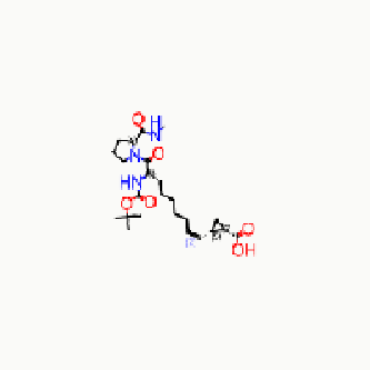 CNC(=O)[C@@H]1CCCN1C(=O)[C@H](CCCCC/C=C\[C@@H]1C[C@@H]1C(=O)O)NC(=O)OC(C)(C)C